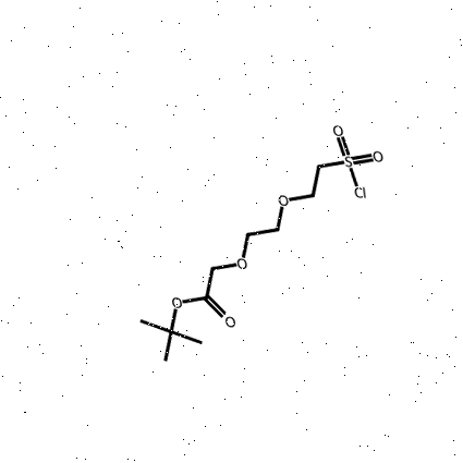 CC(C)(C)OC(=O)COCCOCCS(=O)(=O)Cl